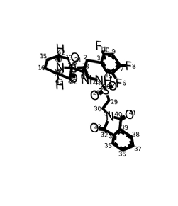 N[C@H](Cc1cc(F)c(F)cc1F)[C@@H]1C[C@H]2CC[C@@H](C1)N2S(=O)(=O)CCNS(=O)(=O)CCN1C(=O)c2ccccc2C1=O